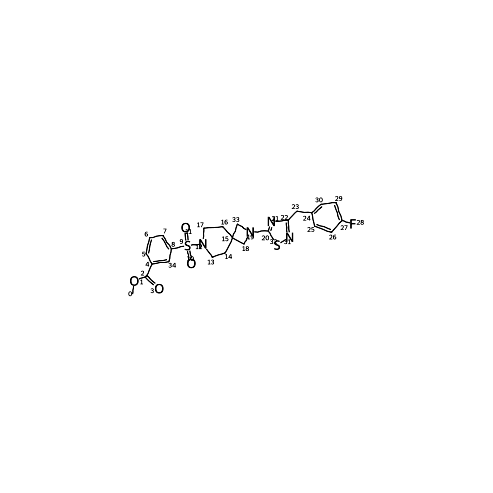 COC(=O)c1cccc(S(=O)(=O)N2CCC3(CC2)CN(c2nc(Cc4ccc(F)cc4)ns2)C3)c1